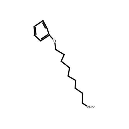 CCCCCCCCCCCCCCCCCCOc1c[c]ccc1